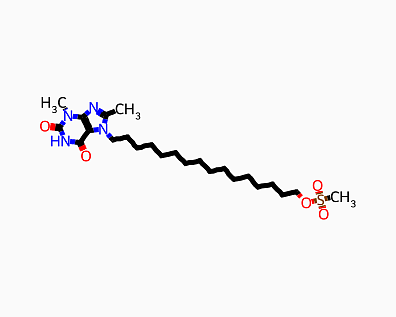 Cc1nc2c(c(=O)[nH]c(=O)n2C)n1CCCCCCCCCCCCCCCCOS(C)(=O)=O